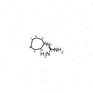 NC(N)=NC1CCCCCC1